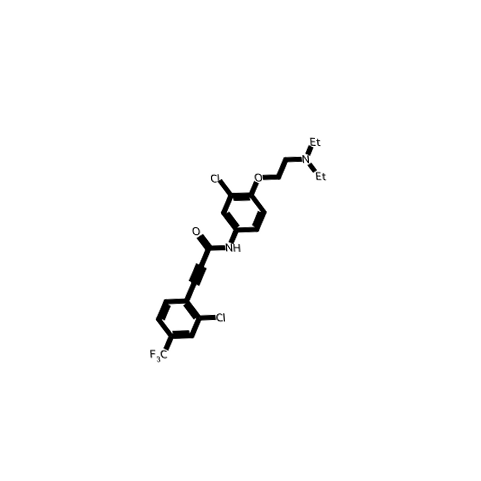 CCN(CC)CCOc1ccc(NC(=O)C#Cc2ccc(C(F)(F)F)cc2Cl)cc1Cl